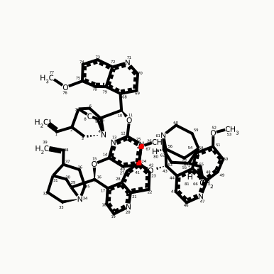 C=CC1C[N@@]2CCC1CC2[C@H](Oc1nc(O[C@@H](c2ccnc3ccc(OC)cc23)C2CC3CC[N@]2CCC3C=C)cc(O[C@@H](c2ccnc3ccc(OC)cc23)[C@@H]2CC3CCN2CC[C@@H]3C=C)n1)c1ccnc2ccc(OC)cc12